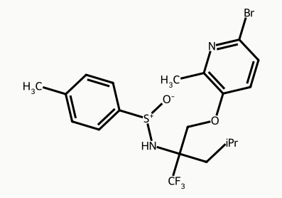 Cc1ccc([S+]([O-])NC(COc2ccc(Br)nc2C)(CC(C)C)C(F)(F)F)cc1